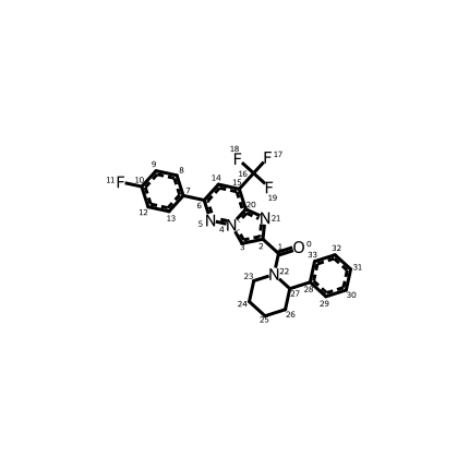 O=C(c1cn2nc(-c3ccc(F)cc3)cc(C(F)(F)F)c2n1)N1CCCCC1c1ccccc1